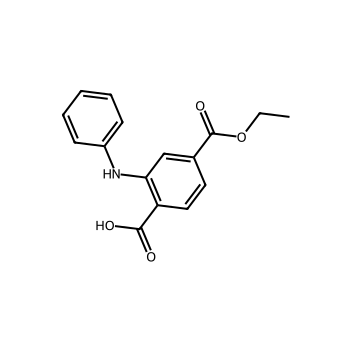 CCOC(=O)c1ccc(C(=O)O)c(Nc2ccccc2)c1